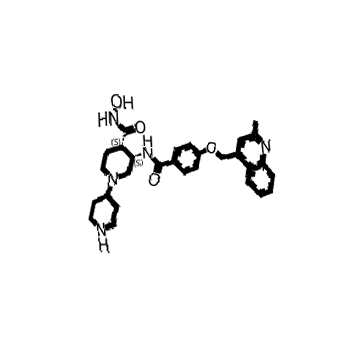 Cc1cc(COc2ccc(C(=O)N[C@@H]3CN(C4CCNCC4)CC[C@@H]3C(=O)NO)cc2)c2ccccc2n1